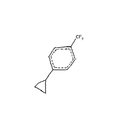 FC(F)(F)c1[c]cc(C2CC2)cc1